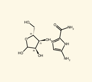 NC(=O)c1ncc(N)[nH]1.OC[C@H]1OC(O)[C@H](O)[C@@H]1O